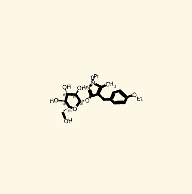 CCCn1nc(O[C@@H]2O[C@H](CO)[C@@H](O)[C@H](O)[C@H]2O)c(Cc2ccc(OCC)cc2)c1C